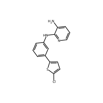 Nc1cccnc1Nc1cccc(-c2ccc(Cl)s2)c1